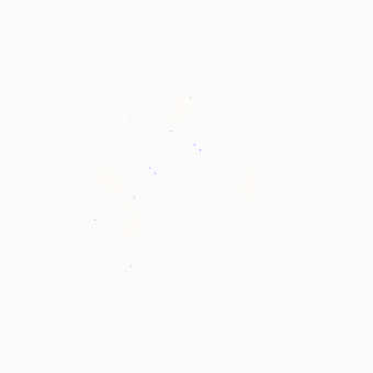 CC(=O)CNC(=O)C1(NC(=O)OC(C)(C)C)CC1